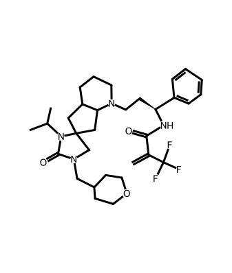 C=C(C(=O)N[C@@H](CCN1CCCC2CC3(CC21)CN(CC1CCOCC1)C(=O)N3C(C)C)c1ccccc1)C(F)(F)F